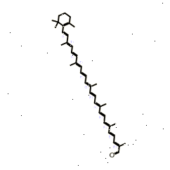 CC1=C(/C=C/C(C)=C/C=C/C(C)=C/C=C/C=C(C)/C=C/C=C(C)/C=C/C=C(C)/C=C/C=C(\C)C=O)C(C)(C)CCC1